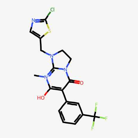 C[n+]1c(O)c(-c2cccc(C(F)(F)F)c2)c(=O)n2c1N(Cc1cnc(Cl)s1)CC2